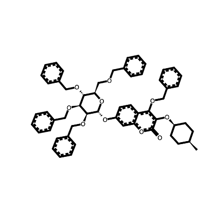 C[C@H]1CC[C@@H](Oc2c(OCc3ccccc3)c3ccc(O[C@H]4O[C@H](COCc5ccccc5)[C@@H](OCc5ccccc5)[C@H](OCc5ccccc5)[C@@H]4OCc4ccccc4)cc3oc2=O)CC1